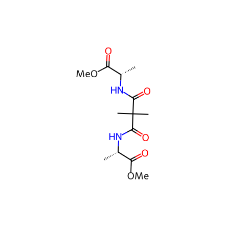 COC(=O)[C@H](C)NC(=O)C(C)(C)C(=O)N[C@@H](C)C(=O)OC